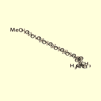 COCCOCCOCCOCCOCCOCCOCCOCCOCCOCCS(=O)(=O)CCC(C)(C)NCl